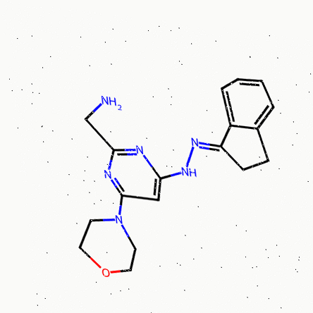 NCc1nc(NN=C2CCc3ccccc32)cc(N2CCOCC2)n1